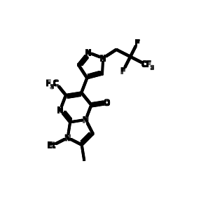 CCn1c(C)cn2c(=O)c(-c3cnn(CC(F)(F)C(F)(F)F)c3)c(C(F)(F)F)nc12